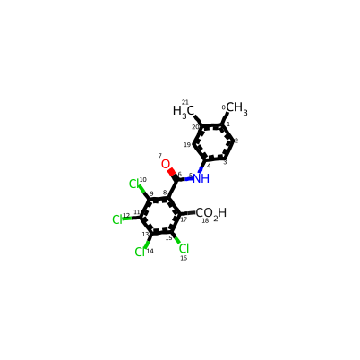 Cc1ccc(NC(=O)c2c(Cl)c(Cl)c(Cl)c(Cl)c2C(=O)O)cc1C